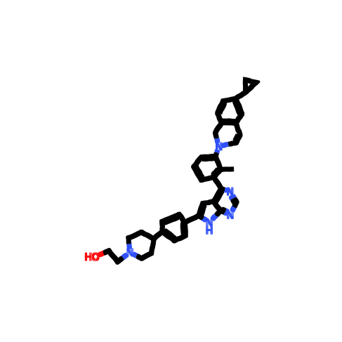 Cc1c(-c2ncnc3[nH]c(-c4ccc(C5CCN(CCO)CC5)cc4)cc23)cccc1N1C=Cc2cc(C3CC3)ccc2C1